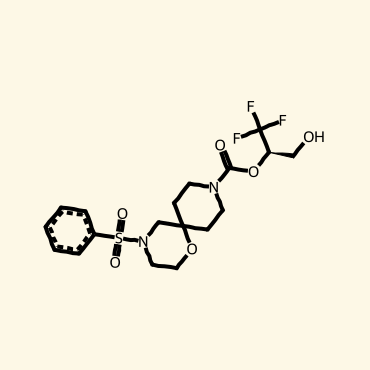 O=C(O[C@H](CO)C(F)(F)F)N1CCC2(CC1)CN(S(=O)(=O)c1ccccc1)CCO2